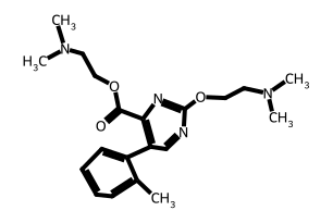 Cc1ccccc1-c1cnc(OCCN(C)C)nc1C(=O)OCCN(C)C